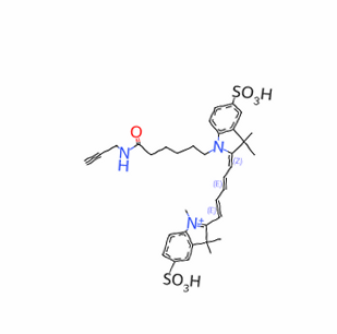 C#CCNC(=O)CCCCCN1\C(=C/C=C/C=C/C2=[N+](C)c3ccc(S(=O)(=O)O)cc3C2(C)C)C(C)(C)c2cc(S(=O)(=O)O)ccc21